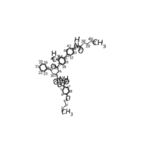 CCCCOc1ccc(S(=O)(=O)NC(=O)C(CCc2ccccc2)CC(=O)c2ccc(-c3ccc(NC(=O)CCCC)cc3)cc2C)cc1